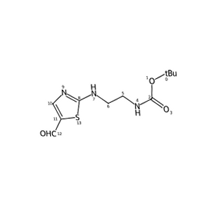 CC(C)(C)OC(=O)NCCNc1ncc(C=O)s1